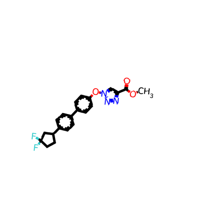 COC(=O)c1cn(Oc2ccc(-c3ccc(C4CCC(F)(F)C4)cc3)cc2)nn1